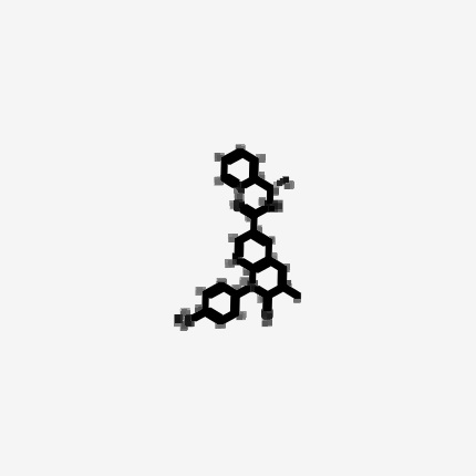 Cc1cc2cc(C(=O)N[C@@H](C)c3ccccn3)cnc2n(-c2ccc(C(F)(F)F)cc2)c1=O